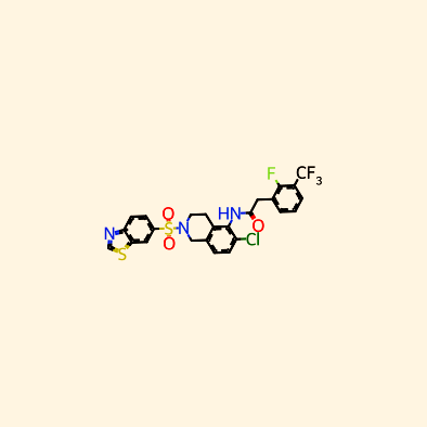 O=C(Cc1cccc(C(F)(F)F)c1F)Nc1c(Cl)ccc2c1CCN(S(=O)(=O)c1ccc3ncsc3c1)C2